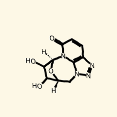 O=c1ccc2nnn3c2n1[C@H]1O[C@H](C3)C(O)C1O